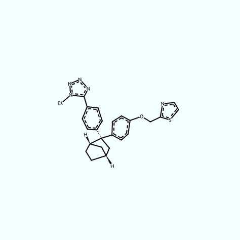 CCn1nnnc1-c1ccc([C@]2(c3ccc(OCc4nccs4)cc3)C[C@@H]3CC[C@H]2C3)cc1